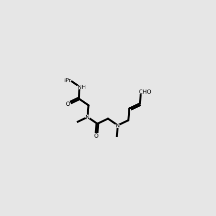 CC(C)NC(=O)CN(C)C(=O)CN(C)C/C=C/C=O